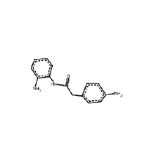 Nc1ccc(CC(=O)Nc2ccccc2N)cc1